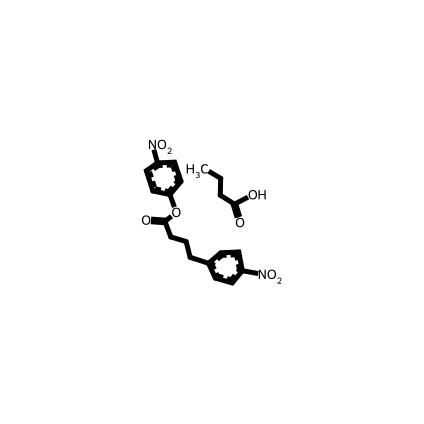 CCCC(=O)O.O=C(CCCc1ccc([N+](=O)[O-])cc1)Oc1ccc([N+](=O)[O-])cc1